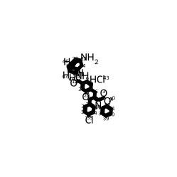 COC(=O)c1c(Cc2ccc(C(=O)N[C@@H]3[C@@H]4C[C@@H]5C[C@H]3C[C@](N)(C5)C4)cc2)c(=O)c2ccc(Cl)cc2n1-c1ccccc1.Cl